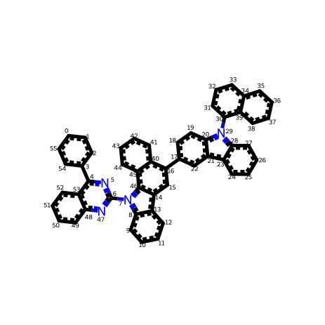 c1ccc(-c2nc(-n3c4ccccc4c4cc(-c5ccc6c(c5)c5ccccc5n6-c5cccc6ccccc56)c5ccccc5c43)nc3ccccc23)cc1